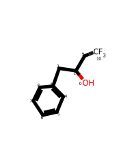 OC(Cc1ccccc1)CC(F)(F)F